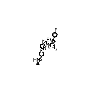 CCc1nc2ccc(N3CCC(SNC4CC4)CC3)nn2c1N(C)c1nc(-c2ccc(F)cc2)cs1